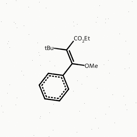 CCOC(=O)C(=C(OC)c1ccccc1)C(C)(C)C